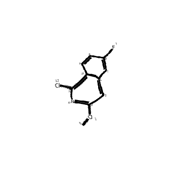 COc1cc2cc(F)ccc2c(Cl)n1